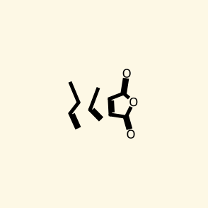 C=CC.C=CCC.O=C1C=CC(=O)O1